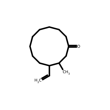 C=CC1CCCCCCCCC(=O)CC1C